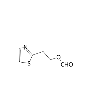 O=COCCc1nccs1